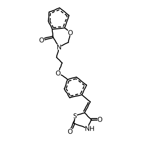 O=C1NC(=O)/C(=C/c2ccc(OCCN3COc4ccccc4C3=O)cc2)S1